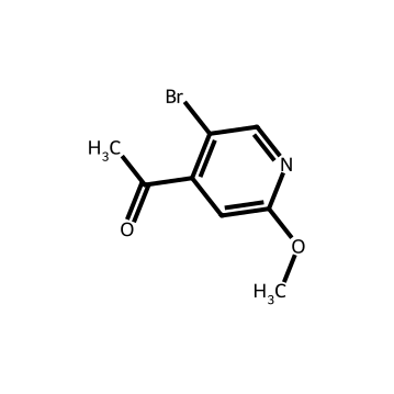 COc1cc(C(C)=O)c(Br)cn1